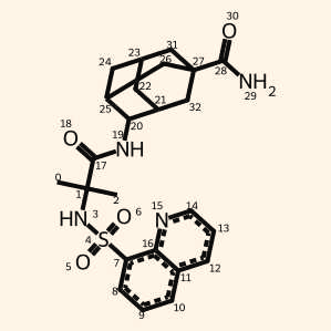 CC(C)(NS(=O)(=O)c1cccc2cccnc12)C(=O)NC1C2CC3CC1CC(C(N)=O)(C3)C2